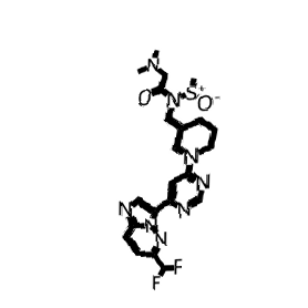 CN(C)CC(=O)N(CC1CCCN(c2cc(-c3cnc4ccc(C(F)F)nn34)ncn2)C1)[S+](C)[O-]